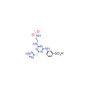 CS(=O)(=O)NCCNc1nc(Nc2cccc(S(=O)(=O)O)c2)nc(Sc2nc[nH]n2)n1